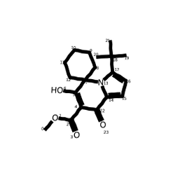 COC(=O)C1=C(O)C2(CCCCC2)n2c(ccc2C(C)(C)C)C1=O